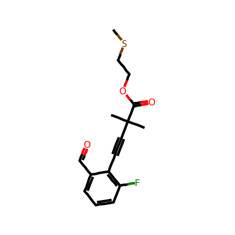 CSCCOC(=O)C(C)(C)C#Cc1c(F)cccc1C=O